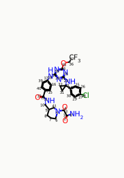 NC(=O)C(=O)N1CCCC(CNC(=O)c2ccc(Nc3nc(NC4(c5ccc(Cl)cc5)CC4)nc(OCC(F)(F)F)n3)cc2)C1